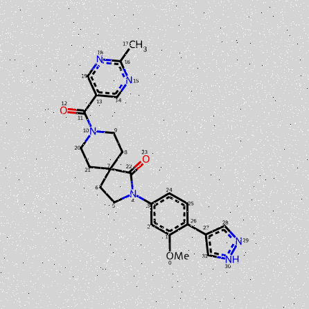 COc1cc(N2CCC3(CCN(C(=O)c4cnc(C)nc4)CC3)C2=O)ccc1-c1cn[nH]c1